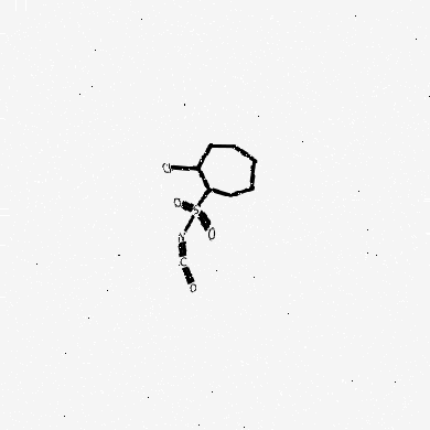 O=C=NS(=O)(=O)C1CCCCCC1Cl